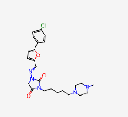 CN1CCN(CCCCCN2C(=O)CN(N=Cc3ccc(-c4ccc(Cl)cc4)o3)C2=O)CC1